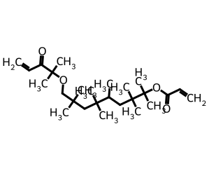 C=CC(=O)OC(C)(C)C(C)(C)CC(C)C(C)(C)CC(C)(C)COC(C)(C)C(=O)C=C